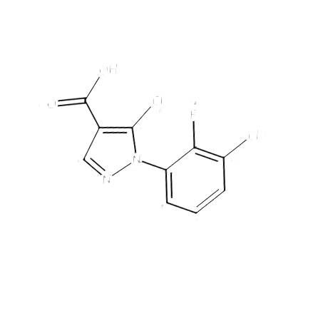 O=C(O)c1cnn(-c2cccc(Cl)c2F)c1Cl